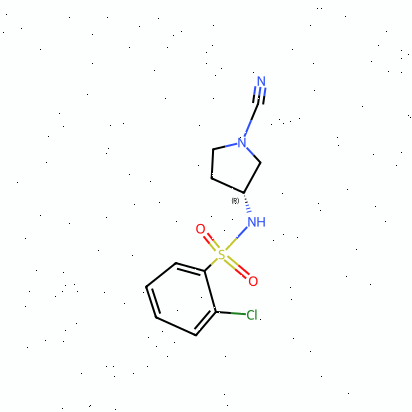 N#CN1CC[C@@H](NS(=O)(=O)c2ccccc2Cl)C1